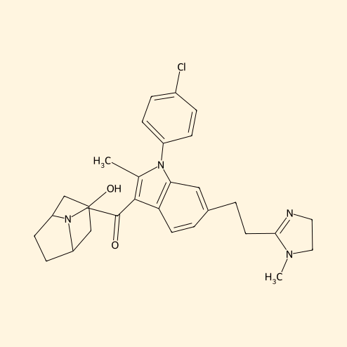 Cc1c(C(=O)CN2C3CCC2CC(O)C3)c2ccc(CCC3=NCCN3C)cc2n1-c1ccc(Cl)cc1